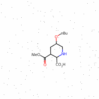 CCCCOC1CNC(C(=O)O)C(C(=O)OC)C1